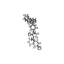 O=C1[C@H](N2CCCC3=C2C=CC(Cl)C3)CCN1c1ccc(S(=O)(=O)Nc2nccs2)cc1